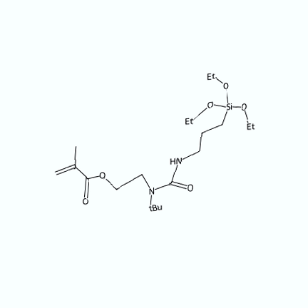 C=C(C)C(=O)OCCN(C(=O)NCCC[Si](OCC)(OCC)OCC)C(C)(C)C